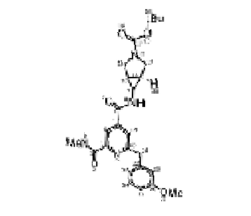 CNC(=O)c1cc(C(=O)NC2C3CN(C(=O)OC(C)(C)C)C[C@H]32)cc(Cc2cccc(OC)c2)n1